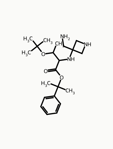 CC(OC(C)(C)C)C(NC1(CN)CNC1)C(=O)OC(C)(C)c1ccccc1